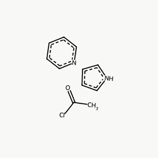 CC(=O)Cl.c1cc[nH]c1.c1ccncc1